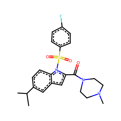 CC(C)c1ccc2c(c1)cc(C(=O)N1CCN(C)CC1)n2S(=O)(=O)c1ccc(F)cc1